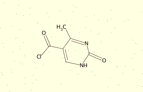 Cc1nc(=O)[nH]cc1C(=O)Cl